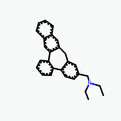 CCN(CC)Cc1ccc2c(c1)Cc1cc3ccccc3cc1-c1ccccc1-2